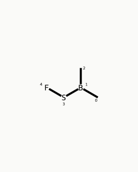 CB(C)SF